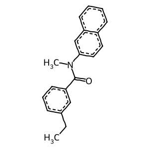 CCc1cccc(C(=O)N(C)c2ccc3ccccc3c2)c1